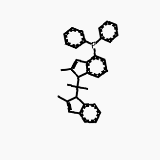 CC1=Cc2ccccc2C1C(C)(C)C1C(C)=Cc2c1cccc2P(c1ccccc1)c1ccccc1